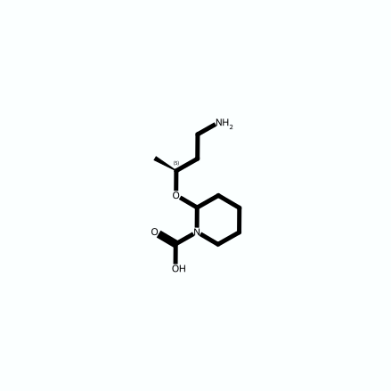 C[C@@H](CCN)OC1CCCCN1C(=O)O